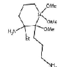 CCC1(N)CCC[Si](OC)(OC)C1(CCCN)OC